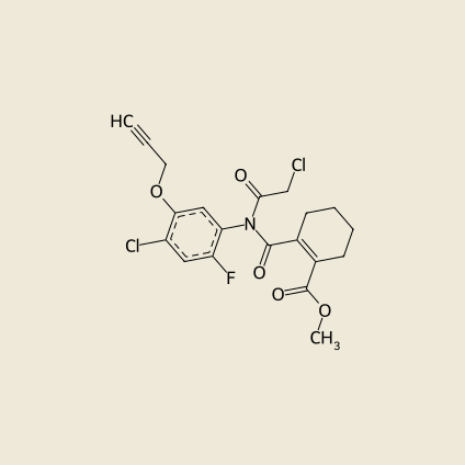 C#CCOc1cc(N(C(=O)CCl)C(=O)C2=C(C(=O)OC)CCCC2)c(F)cc1Cl